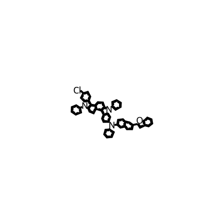 Clc1ccc2c3c4ccc5c(c4ccc3n(-c3ccccc3)c2c1)c1ccc(N(c2ccccc2)c2ccc3cc(-c4cc6ccccc6o4)ccc3c2)cc1n5-c1ccccc1